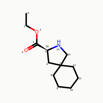 CCOC(=O)[C@@H]1CC2(CCCCC2)CN1